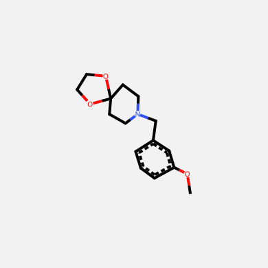 COc1cccc(CN2CCC3(CC2)OCCO3)c1